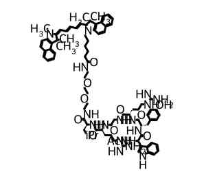 CC(=O)NC(C(=O)N[C@@H](Cc1ccc(O)cc1)C(=O)N[C@@H](CCCNC(=N)N)C(=O)NCC(=O)N[C@@H](CCCNC(=N)N)C(=O)N[C@@H](CC(C)C)C(=O)NCCOCCOCCNC(=O)CCCCC[N+]1=C(/C=C/C=C/C=C2/N(C)c3ccc4ccccc4c3C2(C)C)C(C)(C)c2c1ccc1ccccc21)c1c[nH]c2ccccc12